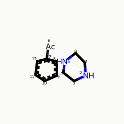 C1CNCCN1.CC(=O)c1ccccc1